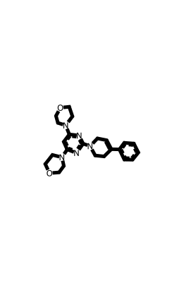 C1=C(c2ccccc2)CCN(c2nc(N3CCOCC3)cc(N3CCOCC3)n2)C1